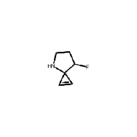 FC1CCNC12C=C2